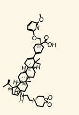 C=C(C)[C@@H]1CC[C@]2(NCCN3CCS(=O)(=O)CC3)CC[C@]3(C)[C@H](CC[C@@H]4[C@@]5(C)CC=C(C6=CC[C@@](COc7cccc(OC)n7)(C(=O)O)CC6)C(C)(C)[C@@H]5CC[C@]43C)[C@@H]12